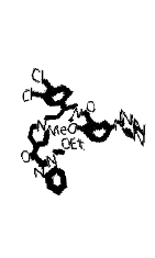 CCOCCn1c(C(=O)C2CCN(CCC(CN(C)C(=O)c3cc(-n4cnnn4)ccc3OC)c3ccc(Cl)c(Cl)c3)CC2)nc2ccccc21